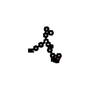 N#Cc1ccc(-c2ccc(CCC(Cc3ccc4c(c3)oc3cc(-c5ccc([C@@H]6CCC7C[C@H]8C7CCC86)c(-c6ccccc6)c5)ccc34)c3ccc4c(c3)C3(CCCCC3)c3ccccc3-4)cc2)cc1